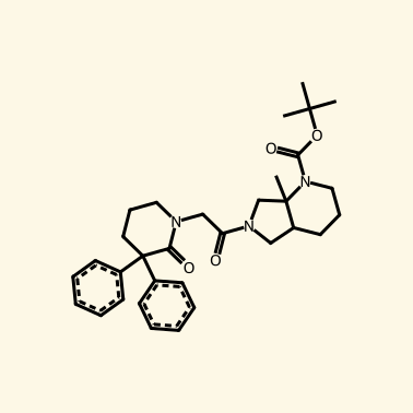 CC(C)(C)OC(=O)N1CCCC2CN(C(=O)CN3CCCC(c4ccccc4)(c4ccccc4)C3=O)CC21C